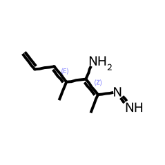 C=C/C=C(C)/C(N)=C(\C)N=N